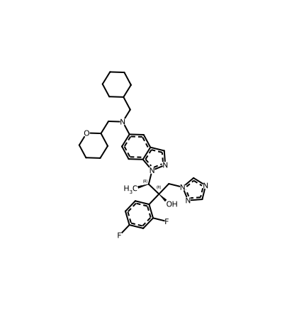 C[C@@H](n1ncc2cc(N(CC3CCCCC3)CC3CCCCO3)ccc21)[C@](O)(Cn1cncn1)c1ccc(F)cc1F